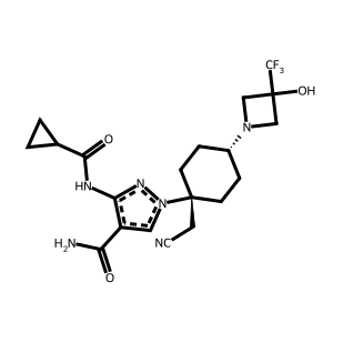 N#CC[C@]1(n2cc(C(N)=O)c(NC(=O)C3CC3)n2)CC[C@@H](N2CC(O)(C(F)(F)F)C2)CC1